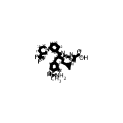 C[SH](N)(=O)c1ccc(Cc2c(-c3cccc(N4CCCC(C(F)(F)F)C4)c3)nn(-c3nc(C(=O)O)cs3)c2CC2CC2)cc1F